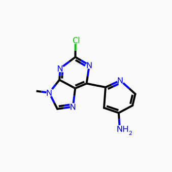 Cn1cnc2c(-c3cc(N)ccn3)nc(Cl)nc21